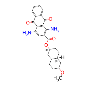 COC1CCC2C[C@H](OC(=O)c3cc(N)c4c(c3N)C(=O)c3ccccc3C4=O)CC[C@@H]2C1